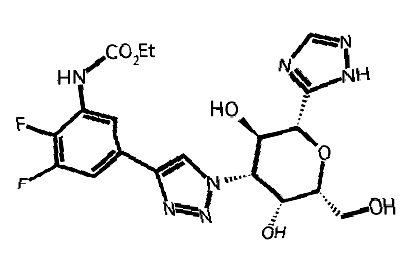 CCOC(=O)Nc1cc(-c2cn([C@H]3[C@@H](O)[C@@H](CO)O[C@@H](c4ncn[nH]4)[C@@H]3O)nn2)cc(F)c1F